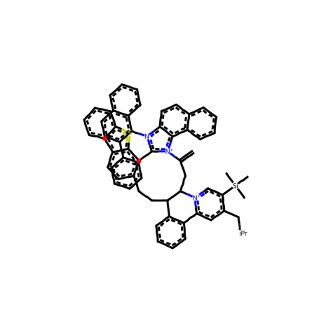 C=C1CC2C(CCc3ccc4c(sc5ccccc54)c3-c3n(-c4c(-c5ccccc5)ccc5ccccc45)c4ccc5ccccc5c4[n+]31)c1ccccc1-c1cc(CC(C)C)c([Si](C)(C)C)c[n+]12